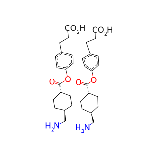 NC[C@H]1CC[C@H](C(=O)Oc2ccc(CCC(=O)O)cc2)CC1.NC[C@H]1CC[C@H](C(=O)Oc2ccc(CCC(=O)O)cc2)CC1